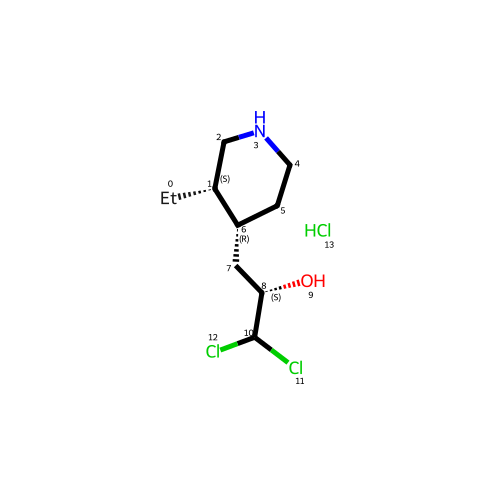 CC[C@@H]1CNCC[C@@H]1C[C@H](O)C(Cl)Cl.Cl